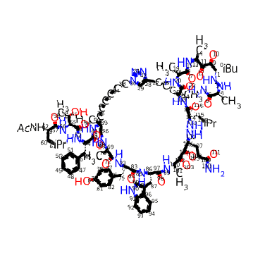 CC[C@H](C)[C@H](NN[C@H](C)C(N)=O)C(=O)C(=O)C(C)NC(=O)[C@H](C)NC(=O)[C@]1(C)CCCc2cn(nn2)CCCCCCC(C)(NC(=O)[C@H](Cc2ccccc2)NC(=O)[C@@H](NC(=O)[C@H](CC(C)C)NC(C)=O)[C@@H](C)O)C(=O)NC(C)C(=O)N[C@@H](Cc2ccc(O)cc2)C(=O)N[C@@H](Cc2c[nH]c3ccccc23)C(=O)NC(C)C(=O)C(=O)[C@H](CCC(N)=O)NN[C@@H](CC(C)C)C(=O)N1